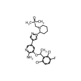 CC(Oc1cc(-c2cnn(C3CCCCN3CP(C)(C)=O)c2)cnc1N)c1c(Cl)ccc(F)c1Cl